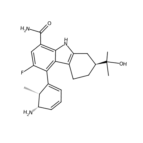 C[C@@H]1C(c2c(F)cc(C(N)=O)c3[nH]c4c(c23)CC[C@H](C(C)(C)O)C4)=CC=C[C@@H]1N